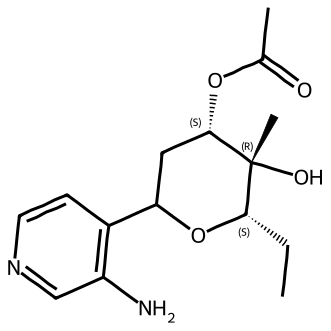 CC[C@@H]1OC(c2ccncc2N)C[C@H](OC(C)=O)[C@]1(C)O